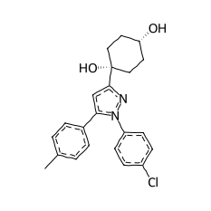 Cc1ccc(-c2cc([C@]3(O)CC[C@@H](O)CC3)nn2-c2ccc(Cl)cc2)cc1